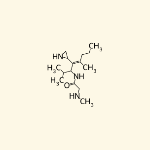 CCC/C(C)=C(\C1CN1)C(NC(=O)CNC)C(C)C